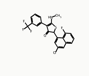 CNC1=C(c2cccc(C(F)(F)F)c2)C(=O)C(c2cc(Cl)cc3cccc(F)c23)S1